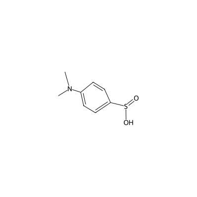 CN(C)c1ccc(S(=O)O)cc1